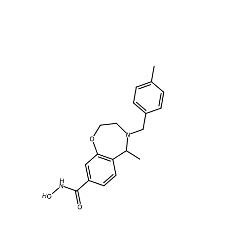 Cc1ccc(CN2CCOc3cc(C(=O)NO)ccc3C2C)cc1